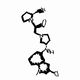 N#C[C@@H]1CCCN1C(=O)CN1CC[C@H](Nc2cccc3ncc(Cl)cc23)C1